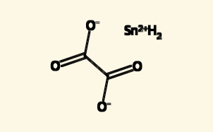 O=C([O-])C(=O)[O-].[SnH2+2]